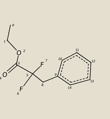 CCOC(=O)C(F)(F)Cc1ccccc1